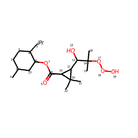 CC1CCC(C(C)C)C(OC(=O)C2C(C(O)C(C)(C)OOO)C2(C)C)C1